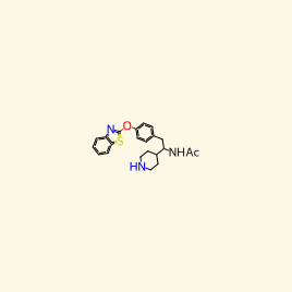 CC(=O)NC(Cc1ccc(Oc2nc3ccccc3s2)cc1)C1CCNCC1